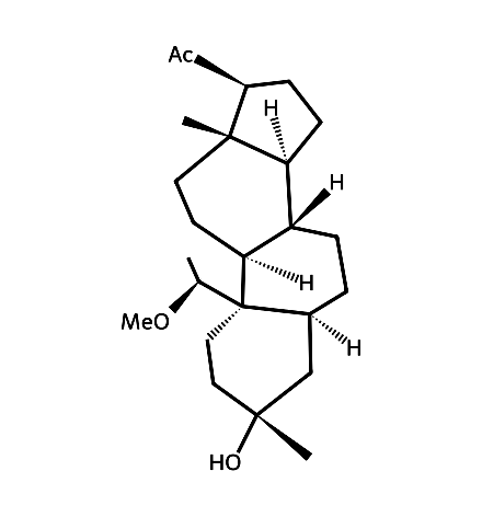 CO[C@@H](C)[C@]12CC[C@@](C)(O)C[C@@H]1CC[C@H]1[C@@H]3CC[C@H](C(C)=O)[C@@]3(C)CC[C@@H]12